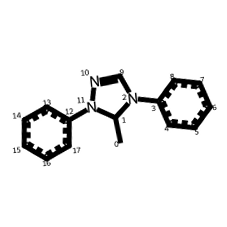 CC1N(c2ccccc2)C=NN1c1ccccc1